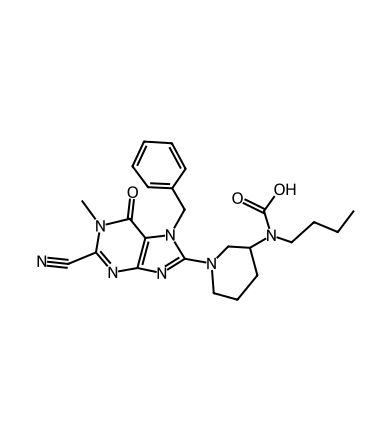 CCCCN(C(=O)O)C1CCCN(c2nc3nc(C#N)n(C)c(=O)c3n2Cc2ccccc2)C1